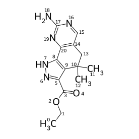 CCOC(=O)c1n[nH]c2c1C(C)(C)Cc1cnc(N)nc1-2